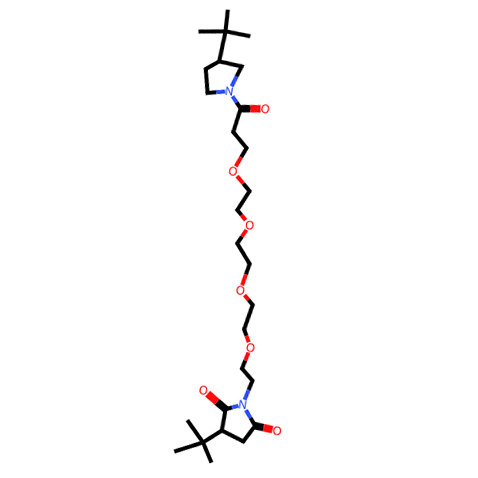 CC(C)(C)C1CCN(C(=O)CCOCCOCCOCCOCCN2C(=O)CC(C(C)(C)C)C2=O)C1